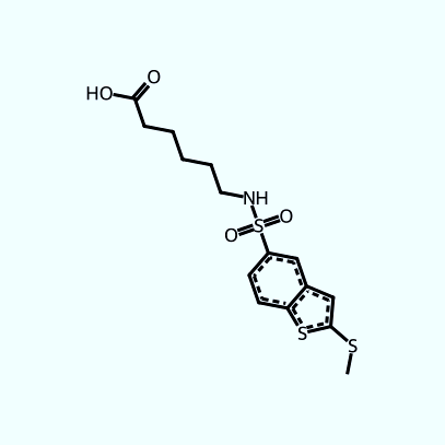 CSc1cc2cc(S(=O)(=O)NCCCCCC(=O)O)ccc2s1